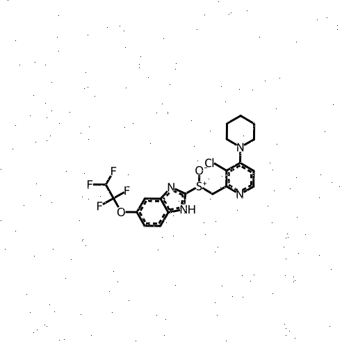 [O-][S+](Cc1nccc(N2CCCCC2)c1Cl)c1nc2cc(OC(F)(F)C(F)F)ccc2[nH]1